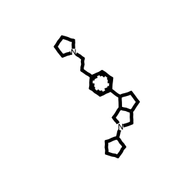 c1cc(C2CCC3CN(C4CCCC4)CC32)ccc1CCN1CCCC1